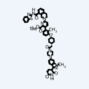 Cc1c(O[C@H]2CC[C@H](CC(=O)N3CCN(c4ccc5c(C6CCC(=O)NC6=O)nn(C)c5c4)CC3)CC2)cccc1-c1ccc(N2CCc3cccc(C(=O)Nc4nc5ccccc5s4)c3C2)nc1C(=O)OC(C)(C)C